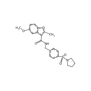 COc1ccc2oc(C)c(C(=O)NCc3ccc(S(=O)(=O)N4CCCC4)cc3)c2c1